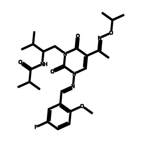 COc1ccc(F)cc1C=Nn1cc(/C(C)=N/OC(C)C)c(=O)n(CC(NC(=O)C(C)C)C(C)C)c1=O